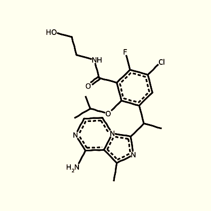 Cc1nc(C(C)c2cc(Cl)c(F)c(C(=O)NCCO)c2OC(C)C)n2ccnc(N)c12